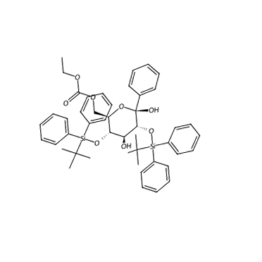 CCOC(=O)OC[C@H]1O[C@](O)(c2ccccc2)[C@H](O[Si](c2ccccc2)(c2ccccc2)C(C)(C)C)[C@@H](O)[C@@H]1O[Si](c1ccccc1)(c1ccccc1)C(C)(C)C